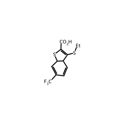 CCSC1=C(C(=O)O)SC2C=C(C(F)(F)F)C=CC12